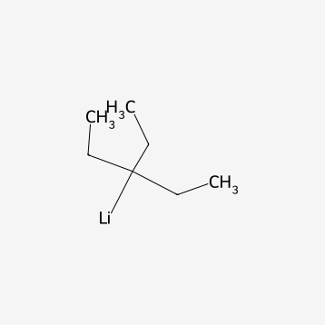 [Li][C](CC)(CC)CC